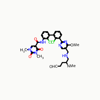 CNC(CCC=O)CNCc1cnc(-c2cccc(-c3cccc(NC(=O)c4cn(C)c(=O)n(C)c4=O)c3Cl)c2Cl)nc1OC